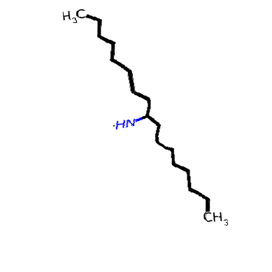 CCCCCCCCC([NH])CCCCCCCC